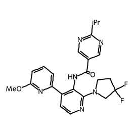 COc1cccc(-c2ccnc(N3CCC(F)(F)C3)c2NC(=O)c2cnc(C(C)C)nc2)n1